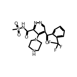 CS(=O)(=O)NC(=O)c1nncc(C(=O)c2ccccc2C(F)(F)F)c1N1CCNCC1